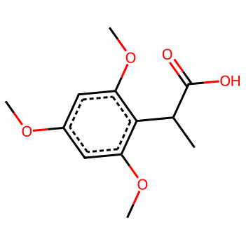 COc1cc(OC)c(C(C)C(=O)O)c(OC)c1